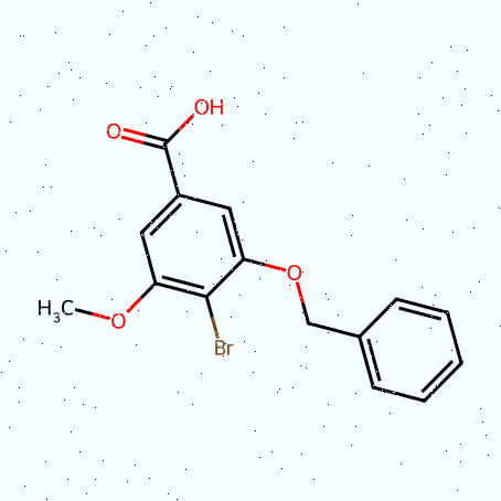 COc1cc(C(=O)O)cc(OCc2ccccc2)c1Br